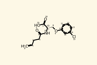 C=CCCC(=O)N[C@@H](COc1cccc(Cl)c1)C(=O)O